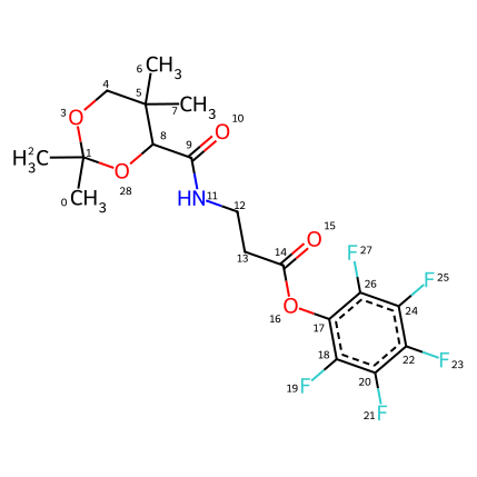 CC1(C)OCC(C)(C)C(C(=O)NCCC(=O)Oc2c(F)c(F)c(F)c(F)c2F)O1